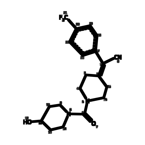 N#CC(=C1CCN(C(=O)N2CCC(O)CC2)CC1)c1ccc(C(F)(F)F)cc1